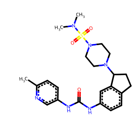 Cc1ccc(NC(=O)Nc2ccc3c(c2)C(N2CCN(S(=O)(=O)N(C)C)CC2)CC3)cn1